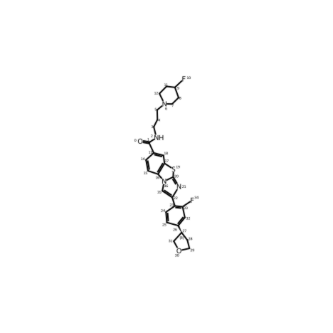 O=C(NCCCN1CCC(F)CC1)c1ccc2c(c1)sc1nc(-c3ccc([C@H]4CCOC4)cc3F)cn12